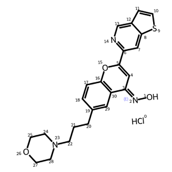 Cl.O/N=c1\cc(-c2cc3sccc3cn2)oc2ccc(CCCN3CCOCC3)cc12